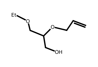 C=CCOC(CO)COCC